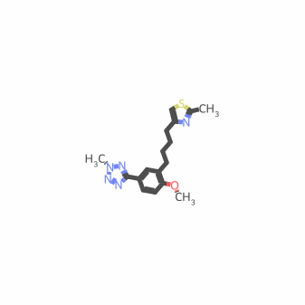 COc1ccc(-c2nnn(C)n2)cc1CCCCc1csc(C)n1